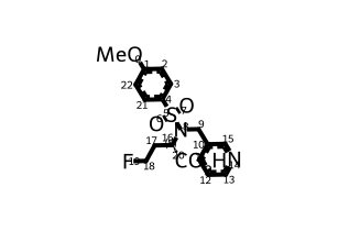 COc1ccc(S(=O)(=O)N(Cc2cccnc2)[C@@H](CCF)C(=O)O)cc1